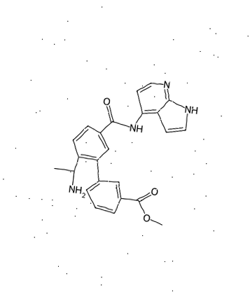 COC(=O)c1cccc(-c2cc(C(=O)Nc3ccnc4[nH]ccc34)ccc2C(C)N)c1